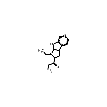 CCC(=O)C1CC2c3ccncc3NC2N1CC